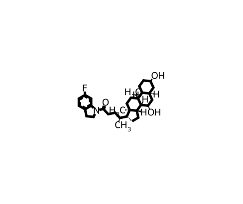 C[C@H](CCC(=O)N1CCc2ccc(F)cc21)[C@H]1CC[C@H]2[C@@H]3[C@@H](O)C[C@@H]4C[C@H](O)CC[C@]4(C)[C@H]3CC[C@]12C